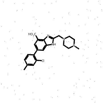 Cc1ccc(-c2cc(C(=O)O)c3nc(CN4CCN(C)CC4)[nH]c3c2)c(Cl)c1